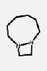 C1CCCN2CCN2CC1